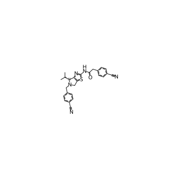 CC(C)[C@H]1c2nc(NC(=O)Cc3ccc(C#N)cc3)sc2CN1Cc1ccc(C#N)cc1